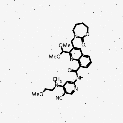 COCCN(C)c1cc(NC(=O)c2cccc3cc(CN4CCCCOC4=O)c(C(OC)OC)nc23)ncc1C#N